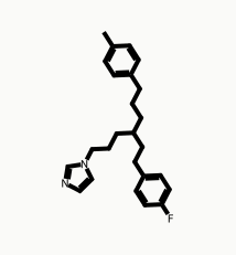 Cc1ccc(CCCC(CCCn2ccnc2)CCc2ccc(F)cc2)cc1